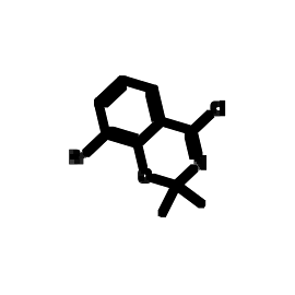 CC1(C)N=C(Cl)c2cccc(Br)c2O1